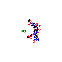 CC(C)(C)OC(=O)CON=C(C(=O)N[C@]1(C)C(=O)N2C(C(=O)[O-])=C([N+]3(C)CCN(C(=O)OC(C)(C)C)CC3)CS[C@H]21)c1csc(NC=O)n1.Cl